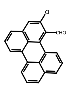 O=Cc1c(Cl)cc2cccc3c4cccc5cccc(c1c23)c54